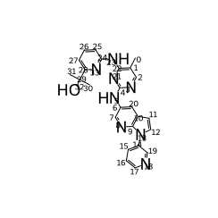 Cc1cnc(Nc2cnc3c(ccn3-c3cccnc3)c2)nc1Nc1cccc(C(C)(C)O)n1